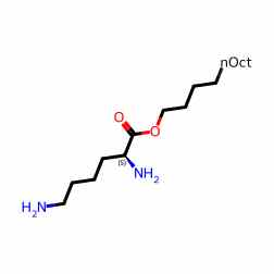 CCCCCCCCCCCCOC(=O)[C@@H](N)CCCCN